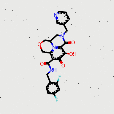 O=C(NCc1ccc(F)cc1F)c1c2n3c(c(O)c1=O)C(=O)N(Cc1cccnc1)CC3COC2